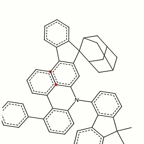 CC1(C)c2ccccc2-c2c(N(c3ccc4c(c3)C3(c5ccccc5-4)C4CC5CC(C4)CC3C5)c3cccc(-c4ccccc4)c3-c3ccccc3)cccc21